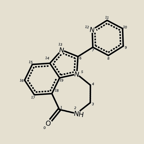 O=C1NCCn2c(-c3ccccn3)nc3cccc1c32